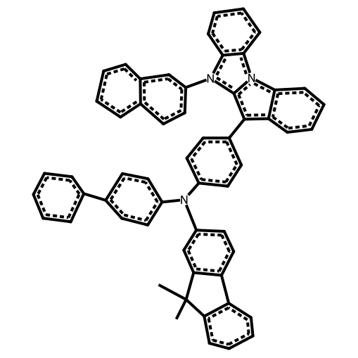 CC1(C)c2ccccc2-c2ccc(N(c3ccc(-c4ccccc4)cc3)c3ccc(-c4c5ccccc5n5c6ccccc6n(-c6ccc7ccccc7c6)c45)cc3)cc21